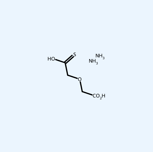 N.N.O=C(O)COCC(O)=S